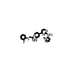 Cn1nccc1Nc1nccc(-c2ccn3c(CSc4ccccc4F)nnc3c2)n1